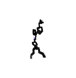 CCCCN(CCCC)c1ccc(/C=C/C(=O)c2cccc(CN(C)C)c2)cc1